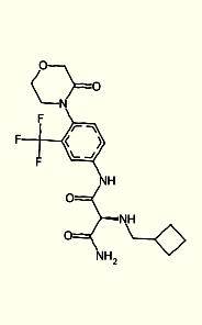 NC(=O)[C@H](NCC1CCC1)C(=O)Nc1ccc(N2CCOCC2=O)c(C(F)(F)F)c1